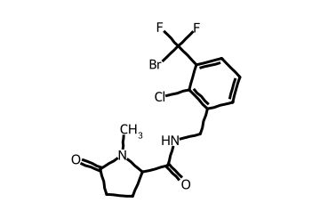 CN1C(=O)CCC1C(=O)NCc1cccc(C(F)(F)Br)c1Cl